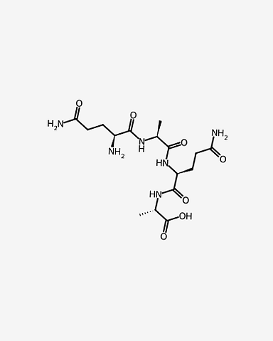 C[C@H](NC(=O)[C@H](CCC(N)=O)NC(=O)[C@H](C)NC(=O)[C@@H](N)CCC(N)=O)C(=O)O